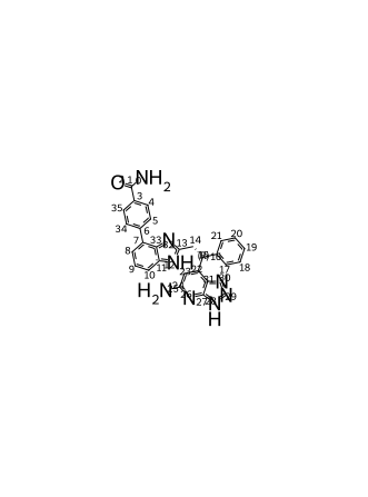 NC(=O)c1ccc(-c2cccc3[nH]c(C[C@H](c4ccccc4)c4cc(N)nc5[nH]nnc45)nc23)cc1